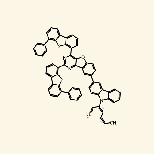 C=C/C(=C\C=C/C)n1c2ccccc2c2cc(-c3ccc4oc5c(-c6cccc7c6sc6c(-c8ccccc8)cccc67)nc(-c6cccc7c6sc6c(-c8ccccc8)cccc67)nc5c4c3)ccc21